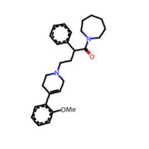 COc1ccccc1C1=CCN(CCC(C(=O)N2CCCCCC2)c2ccccc2)CC1